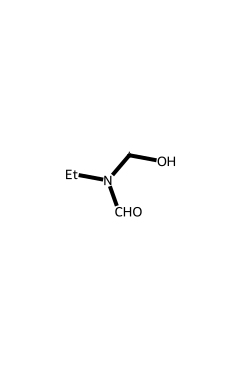 CCN([CH]O)C=O